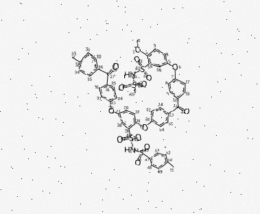 COc1ccc(Oc2ccc(C(=O)c3ccc(Oc4ccc(Oc5ccc(C(=O)c6ccc(C)cc6)cc5)cc4S(=O)(=O)NS(=O)(=O)c4ccc(C)cc4)cc3)cc2)cc1S(=O)(=O)NS(C)(=O)=O